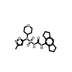 Cc1cc(N(C2CCOCC2)S(=O)(=O)NC(=O)Nc2c3c(cc4c2CCC4)CCC3)on1